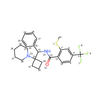 CSc1cc(C(F)(F)F)ccc1C(=O)NC(c1ccccc1)C1(N2CCCCC2)CCC1